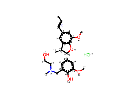 C/C=C/c1cc(OC)c2c(c1)[C@H](C)[C@@H](c1cc(CN(C)CCO)c(O)c(OC)c1)O2.Cl